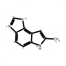 Cc1cc2c(ccc3ncsc32)[nH]1